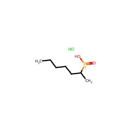 CCCCCC(C)[PH](=O)O.Cl